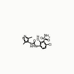 Cc1noc(C)c1NC(=O)Nc1ccc(Cl)c(S(N)(=O)=O)c1O